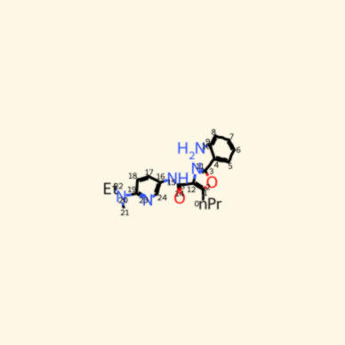 CCCc1oc(-c2ccccc2N)nc1C(=O)Nc1ccc(N(C)CC)nc1